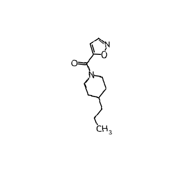 CCCC1CCN(C(=O)c2ccno2)CC1